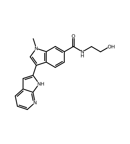 Cn1cc(-c2cc3cccnc3[nH]2)c2ccc(C(=O)NCCO)cc21